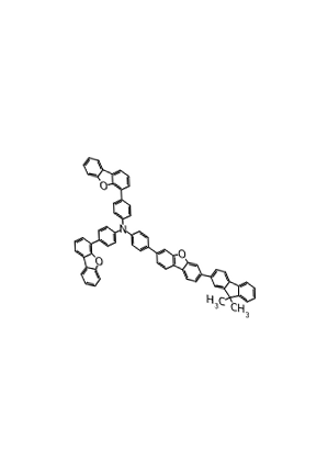 CC1(C)c2ccccc2-c2ccc(-c3ccc4c(c3)oc3cc(-c5ccc(N(c6ccc(-c7cccc8c7oc7ccccc78)cc6)c6ccc(-c7cccc8c7oc7ccccc78)cc6)cc5)ccc34)cc21